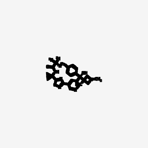 [2H]C([2H])([2H])C(=O)NC1(c2nc(-c3cncc([C@@](O)(c4ccc(C(C)C)cc4)C4(C)CN(C)C4)c3)no2)CC1